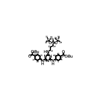 CC(C)COC(=O)c1ccc(Nc2nc(NCCC[Si](C)(O[Si](C)(C)C)O[Si](C)(C)C)nc(Nc3ccc(C(=O)OCC(C)C)cc3)n2)cc1